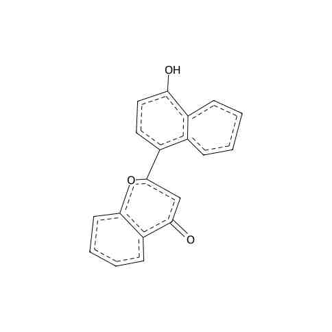 O=c1cc(-c2ccc(O)c3ccccc23)oc2ccccc12